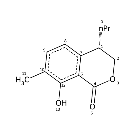 CCC[C@@H]1COC(=O)c2c1ccc(C)c2O